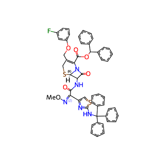 CO/N=C(\C(=O)NC1C(=O)N2C(C(=O)OC(c3ccccc3)c3ccccc3)=C(COc3cccc(F)c3)CS[C@H]12)c1csc(NC(c2ccccc2)(c2ccccc2)c2ccccc2)n1